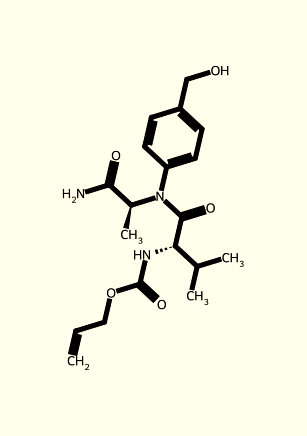 C=CCOC(=O)N[C@H](C(=O)N(c1ccc(CO)cc1)[C@@H](C)C(N)=O)C(C)C